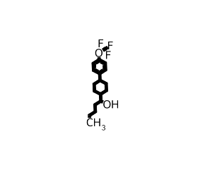 CCCCC(O)C1CCC(c2ccc(OC(F)(F)F)cc2)CC1